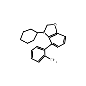 Cc1ccccc1-c1cccc2c1P(C1CCCCC1)CO2